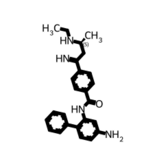 CCN[C@@H](C)CC(=N)c1ccc(C(=O)Nc2cc(N)ccc2-c2ccccc2)cc1